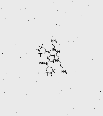 CCCCN(c1ncnc(N(CCCC)C2CC(C)(C)N(C)C(C)(C)C2)n1)C1CC(C)(C)N(C)C(C)(C)C1.NCCCNCCNCCCN